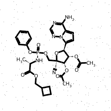 CC(=O)O[C@H]1[C@H](c2ccc3c(N)ncnn23)O[C@](C#N)(CO[P@@](=O)(N[C@@H](C)C(=O)OCC2CCC2)Oc2ccccc2)[C@H]1OC(C)=O